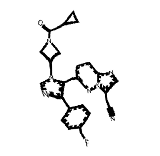 N#Cc1cnc2ccc(-c3c(-c4ccc(F)cc4)ncn3C3CN(C(=O)C4CC4)C3)nn12